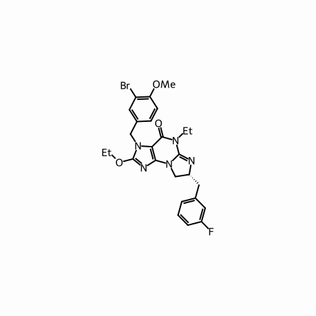 CCOc1nc2c(n1Cc1ccc(OC)c(Br)c1)C(=O)N(CC)C1=N[C@H](Cc3cccc(F)c3)CN12